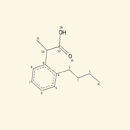 CCCCc1ccccc1C(C)C(=O)O